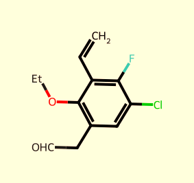 C=Cc1c(F)c(Cl)cc(CC=O)c1OCC